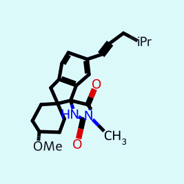 COC1CCC2(CC1)Cc1ccc(C#CCC(C)C)cc1C21NC(=O)N(C)CC1=O